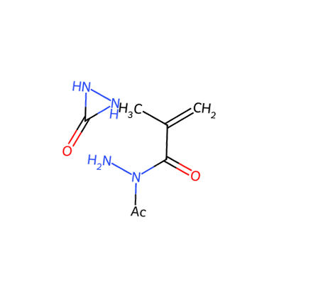 C=C(C)C(=O)N(N)C(C)=O.O=C1NN1